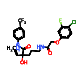 C=CC(O)(CCCNC(=O)COc1ccc(Cl)c(F)c1)C(=O)Nc1ccc(C(F)(F)F)cc1